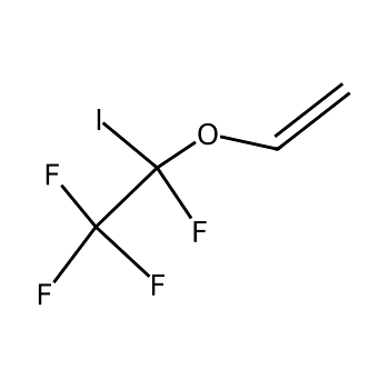 C=COC(F)(I)C(F)(F)F